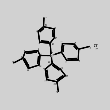 Cc1ccc([N+](c2ccc(C)cc2)(c2ccc(C)cc2)c2ccc(C)cc2)cc1.[Cl-]